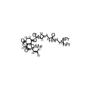 CCCN(CCC)CCNC(=O)CCC1CN(C(=O)O[C@@H]2CC[C@]3(CO3)[C@@H]([C@@]3(C)O[C@@H]3CC=C(C)C)[C@@H]2OC)C1